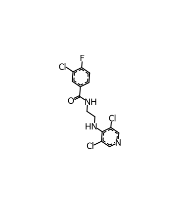 O=C(NCCNc1c(Cl)cncc1Cl)c1ccc(F)c(Cl)c1